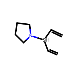 C=C[SiH](C=C)N1CCCC1